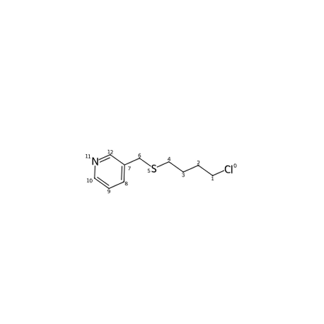 ClCCCCSCc1cccnc1